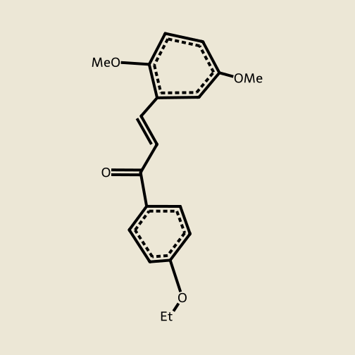 CCOc1ccc(C(=O)C=Cc2cc(OC)ccc2OC)cc1